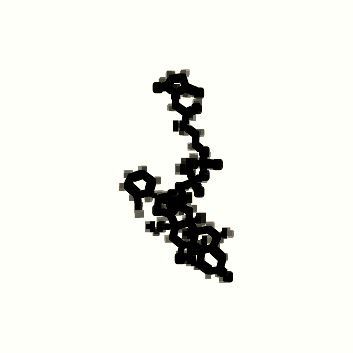 C[C@]12C=CC(=O)C=C1[C@@H](F)C[C@H]1[C@@H]3C[C@H]4O[C@@H](c5ccccc5F)O[C@@]4(C(=O)COP(=O)(O)OP(=O)(O)OCCNC(=O)CN4C(=O)C=CC4=O)[C@@]3(C)C[C@H](O)[C@@]12F